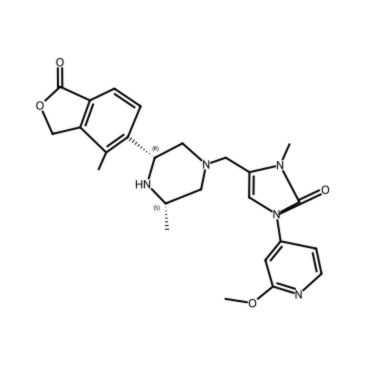 COc1cc(-n2cc(CN3C[C@@H](c4ccc5c(c4C)COC5=O)N[C@@H](C)C3)n(C)c2=O)ccn1